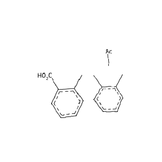 CC(C)=O.Cc1ccccc1C.Cc1ccccc1C(=O)O